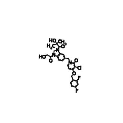 CC(C)(O)C(=O)N1CN(C(=O)CO)c2ccc(Cn3ccc(OCc4ccc(F)cc4F)c(Cl)c3=O)cc21